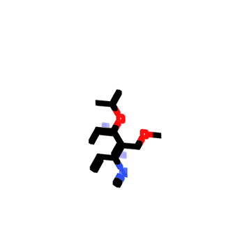 C=C/C(N=C)=C(COC)\C(=C/C)OC(C)C